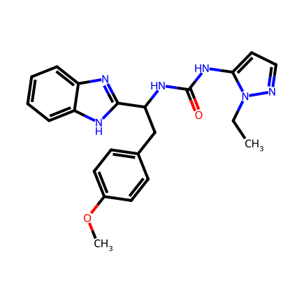 CCn1nccc1NC(=O)NC(Cc1ccc(OC)cc1)c1nc2ccccc2[nH]1